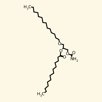 CCCCCCCCCCCCCCOCC(COC(N)=O)OC(=O)CCCCCCCCCCCCC